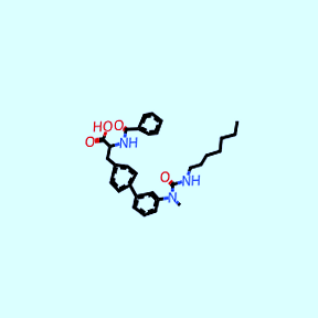 CCCCCCCNC(=O)N(C)c1cccc(-c2ccc(CC(NC(=O)c3ccccc3)C(=O)O)cc2)c1